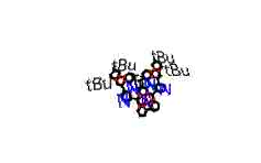 CC(C)(C)c1cc(-c2ccc3c(c2)N(c2c(-c4ccccc4)cncc2-c2ccccc2)c2cc(-n4c5ccccc5c5ccccc54)cc4c2B3c2ccc(-c3cc(C(C)(C)C)cc(C(C)(C)C)c3)cc2N4c2c(-c3ccccc3)cncc2-c2ccccc2)cc(C(C)(C)C)c1